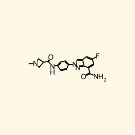 CN1CC(C(=O)Nc2ccc(-n3cc4cc(F)cc(C(N)=O)c4n3)cc2)C1